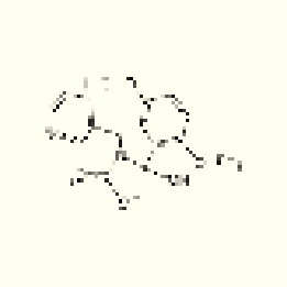 C=C1SCC(O)(c2cc(OC)ccc2OC)N1Cc1cccnc1